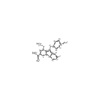 CCc1nc(C(=O)O)cc2c3ccccc3n(Cc3ccc(F)cc3)c12